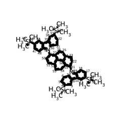 C[Si](C)(C)c1ccc2c(c1)c1cc([Si](C)(C)C)ccc1n2-c1ccc2ccc3c(-n4c5ccc([Si](C)(C)C)cc5c5cc([Si](C)(C)C)ccc54)ccc4ccc1c2c43